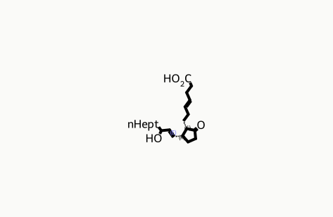 CCCCCCCC(O)/C=C/[C@H]1CCC(=O)[C@H]1CCC=CCCC(=O)O